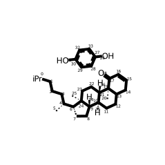 CC(C)CCC[C@@H](C)[C@H]1CC[C@H]2[C@@H]3CCC4CC=CC(=O)[C@]4(C)[C@H]3CC[C@]12C.Oc1ccc(O)cc1